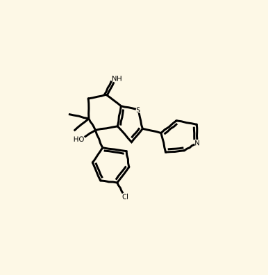 CC1(C)CC(=N)c2sc(-c3ccncc3)cc2C1(O)c1ccc(Cl)cc1